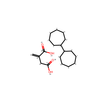 C1CCCC(C2CCCCCC2)CC1.C=C(CC(=O)O)C(=O)O